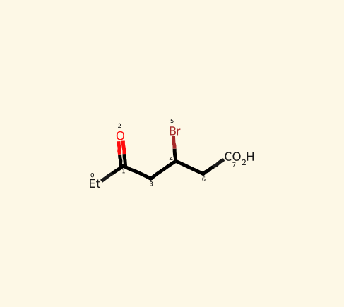 CCC(=O)CC(Br)CC(=O)O